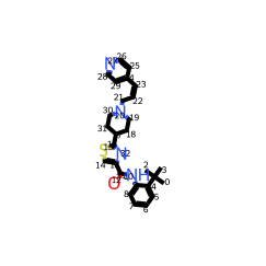 CC(C)(C)c1ccccc1NC(=O)c1csc(C2CCN(C/C=C\c3ccncc3)CC2)n1